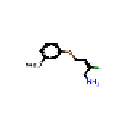 COc1cccc(SC/C=C(/F)CN)c1